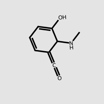 CNC1C(=C=O)C=CC=C1O